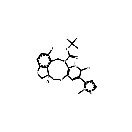 Cn1nccc1C1=CC2=C(NC1Cl)N(C(=O)OC(C)(C)C)Cc1c(F)ccc3c1[C@@H](CO2)CO3